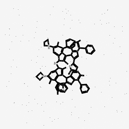 CC1=C(C2C(c3ccc(C)o3)=Cc3c2ccc(C)c3-c2ccccc2)c2c(cc([SiH]3CCC3)c(C)c2-c2ccccc2)[CH]1[Zr][CH]1C(C)=C(C2C(c3ccc(C)o3)=Cc3c2ccc(C)c3-c2ccccc2)c2c1cc([SiH]1CCC1)c(C)c2-c1ccccc1